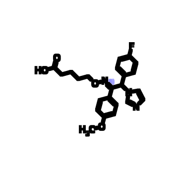 COc1ccc(/C(=N\OCCCCC(=O)O)C(c2ccc(F)cc2)n2ccnc2)cc1